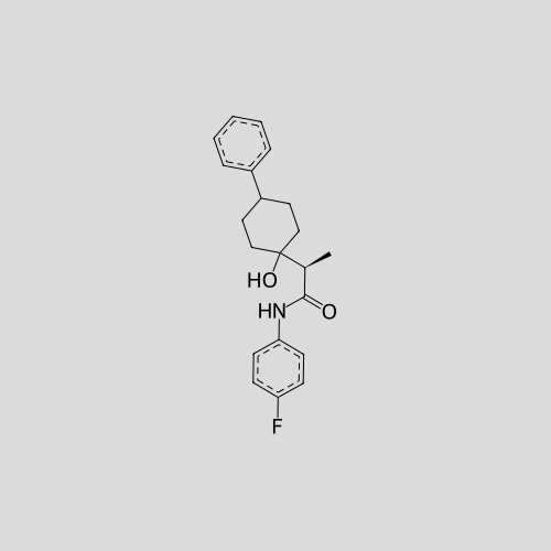 C[C@@H](C(=O)Nc1ccc(F)cc1)C1(O)CCC(c2ccccc2)CC1